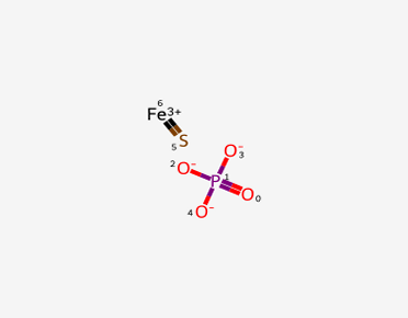 O=P([O-])([O-])[O-].[S]=[Fe+3]